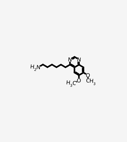 COc1cc2ncnc(CCCCCCN)c2cc1OC